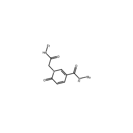 CCNC(=O)Cn1cc(C(=O)NC(C)(C)C)ccc1=O